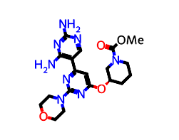 COC(=O)N1CCC[C@@H](Oc2cc(-c3cnc(N)nc3N)nc(N3CCOCC3)n2)C1